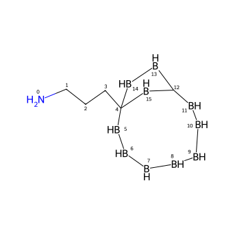 NCCCC12BBBBBBBC(BB1)B2